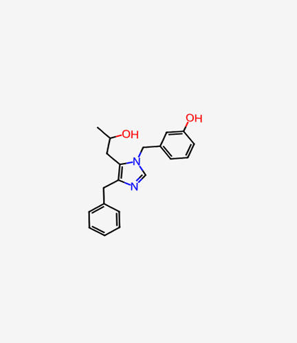 CC(O)Cc1c(Cc2ccccc2)ncn1Cc1cccc(O)c1